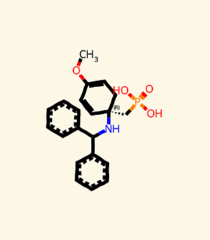 COC1=CC[C@@](CP(=O)(O)O)(NC(c2ccccc2)c2ccccc2)C=C1